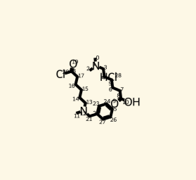 CN(C)CCCCCC(=O)O.CN(CCCCCC(=O)Cl)Cc1ccccc1.Cl